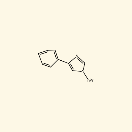 [CH2]CCn1cnc(-c2ccccc2)c1